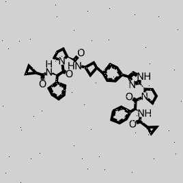 O=C(N[C@@H](C(=O)N1CCC[C@H]1C(=O)NC1CC(c2ccc(-c3c[nH]c([C@@H]4CCCN4C(=O)[C@H](NC(=O)C4CC4)c4ccccc4)n3)cc2)C1)c1ccccc1)C1CC1